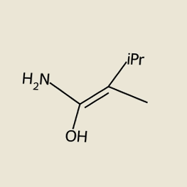 C/C(=C(/N)O)C(C)C